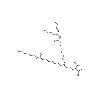 CCCCCCCOC(=O)CCCCCCCN(CCCCCCCC(=O)OC(CCCC)CCCCI)CCCN1C(=O)CCC1=O